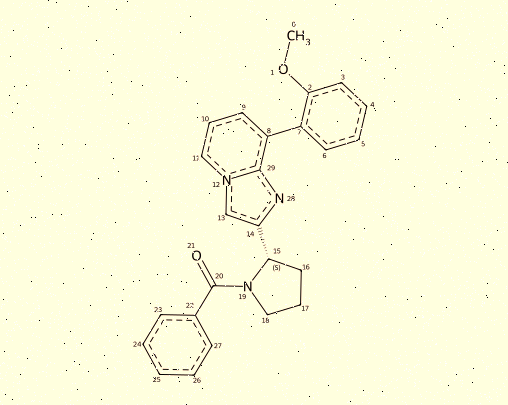 COc1ccccc1-c1cccn2cc([C@@H]3CCCN3C(=O)c3ccccc3)nc12